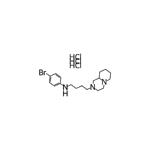 Brc1ccc(NCCCCN2CCN3CCCCC3C2)cc1.Cl.Cl.Cl